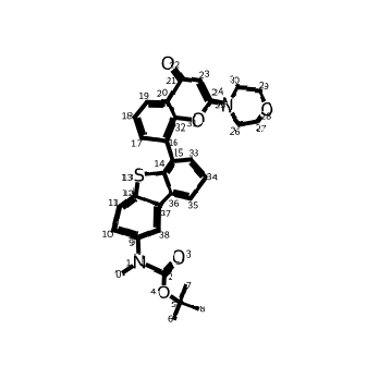 CN(C(=O)OC(C)(C)C)c1ccc2sc3c(-c4cccc5c(=O)cc(N6CCOCC6)oc45)cccc3c2c1